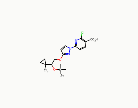 CC(C)(C)[Si](C)(C)OC(COc1ccn(-c2ccc(C(=O)O)c(Cl)n2)n1)C1(C(F)(F)F)CC1